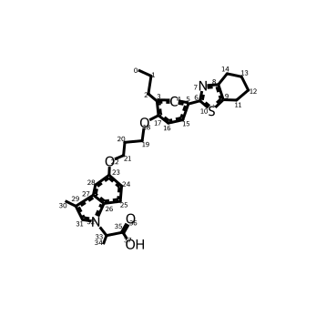 CCCc1cc(-c2nc3c(s2)CCCC3)ccc1OCCCOc1ccc2c(c1)c(C)cn2C(C)C(=O)O